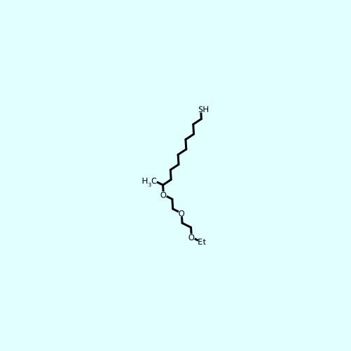 CCOCCOCCOC(C)CCCCCCCCCS